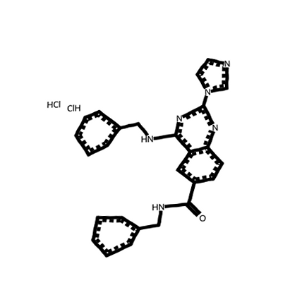 Cl.Cl.O=C(NCc1ccccc1)c1ccc2nc(-n3ccnc3)nc(NCc3ccccc3)c2c1